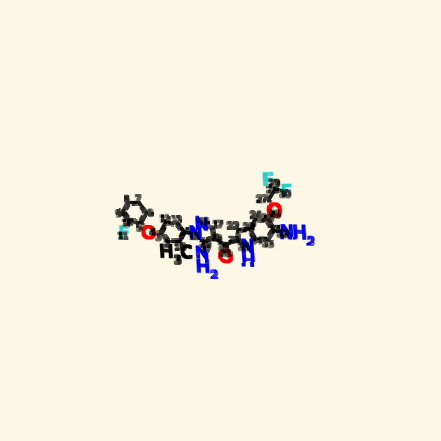 Cc1cc(Oc2ccccc2F)ccc1-n1ncc(C(=O)c2cc3cc(OCC(F)F)c(N)cc3[nH]2)c1N